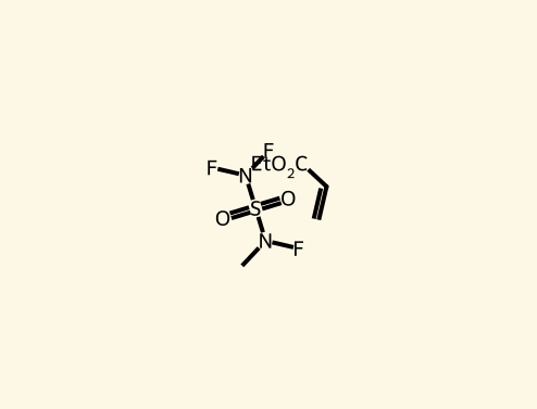 C=CC(=O)OCC.CN(F)S(=O)(=O)N(F)F